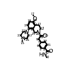 CNC(=O)c1ccc(CC(=O)N2CCc3c(OC)ccc(N4CCN(C)CC4)c3C2)cc1